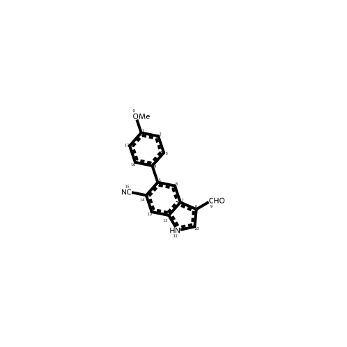 COc1ccc(-c2cc3c(C=O)c[nH]c3cc2C#N)cc1